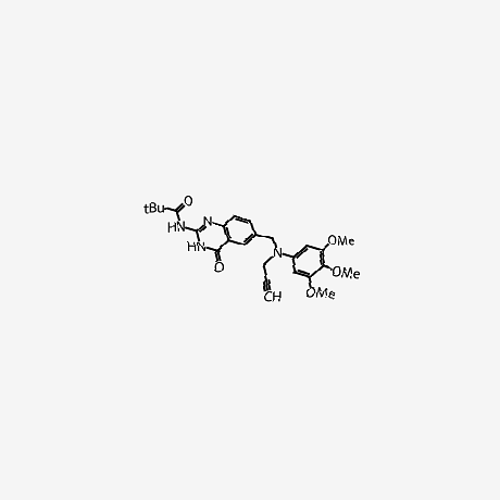 C#CCN(Cc1ccc2nc(NC(=O)C(C)(C)C)[nH]c(=O)c2c1)c1cc(OC)c(OC)c(OC)c1